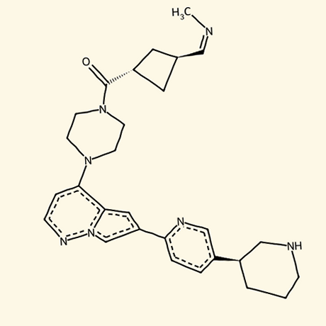 C/N=C\[C@H]1C[C@H](C(=O)N2CCN(c3ccnn4cc(-c5ccc([C@@H]6CCCNC6)cn5)cc34)CC2)C1